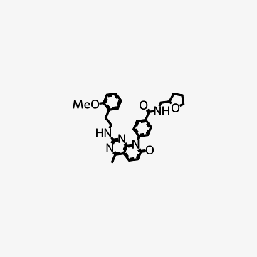 COc1ccccc1CCNc1nc(C)c2ccc(=O)n(-c3ccc(C(=O)NCC4CCCO4)cc3)c2n1